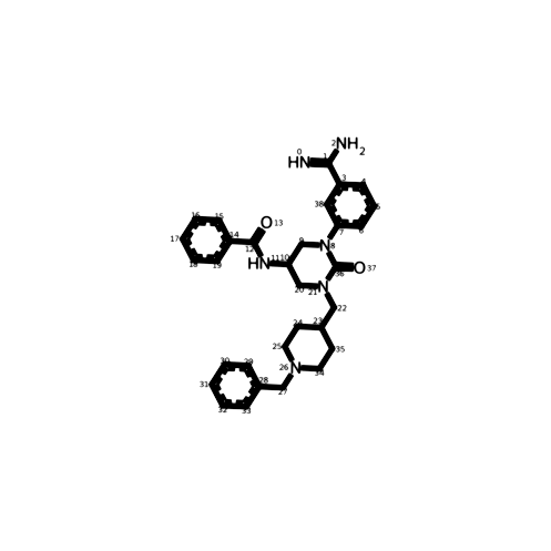 N=C(N)c1cccc(N2CC(NC(=O)c3ccccc3)CN(CC3CCN(Cc4ccccc4)CC3)C2=O)c1